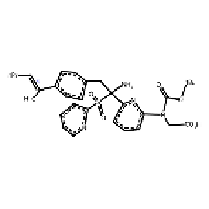 CCC/C=C(\C)c1ccc(CC(N)(c2cccc(N(CC(=O)O)C(=O)OC(C)(C)C)n2)S(=O)(=O)c2ccccn2)cc1